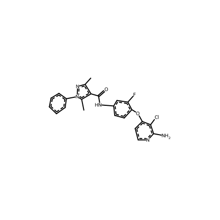 Cc1nn(-c2ccccc2)c(C)c1C(=O)Nc1ccc(Oc2ccnc(N)c2Cl)c(F)c1